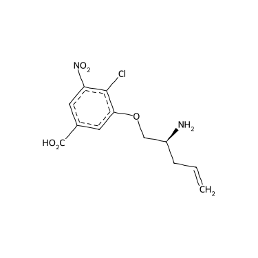 C=CC[C@H](N)COc1cc(C(=O)O)cc([N+](=O)[O-])c1Cl